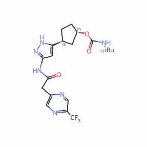 CC[C@H](C)NC(=O)O[C@@H]1CC[C@H](c2cc(NC(=O)Cc3cnc(C(F)(F)F)cn3)n[nH]2)C1